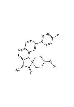 COC1CCC2(CC1)C(=O)N(C)c1cnc3ccc(-c4ccc(F)nc4)cc3c12